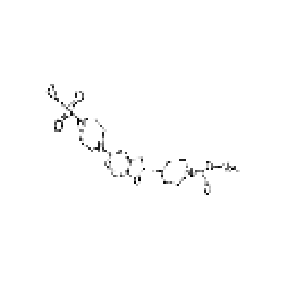 CC(C)(C)OC(=O)N1CCC(C2Cc3cc(N4CCN(S(=O)(=O)C5CC5)CC4)ncc3O2)CC1